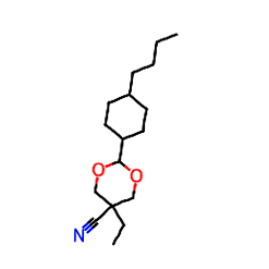 CCCCC1CCC(C2OCC(C#N)(CC)CO2)CC1